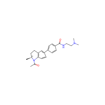 CC(=O)N1c2ccc(-c3ccc(C(=O)NCCN(C)C)cc3)cc2CC[C@@H]1C